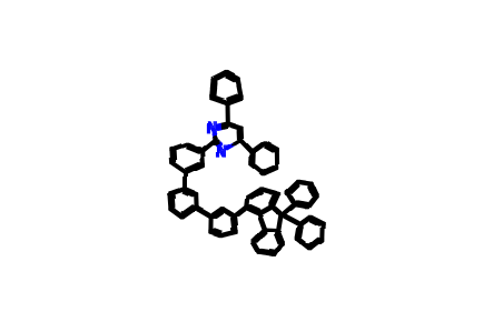 c1ccc(-c2cc(-c3ccccc3)nc(-c3cccc(-c4cccc(-c5cccc(-c6cccc7c6-c6ccccc6C7(c6ccccc6)c6ccccc6)c5)c4)c3)n2)cc1